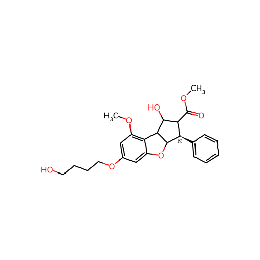 COC(=O)C1C(O)C2c3c(OC)cc(OCCCCO)cc3OC2[C@@H]1c1ccccc1